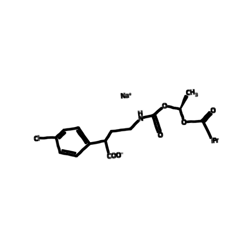 CC(C)C(=O)O[C@H](C)OC(=O)NCCC(C(=O)[O-])c1ccc(Cl)cc1.[Na+]